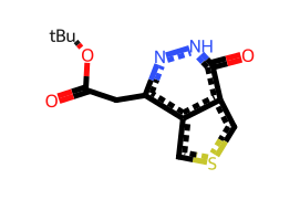 CC(C)(C)OC(=O)Cc1n[nH]c(=O)c2cscc12